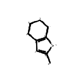 Cc1cc2c(s1)CCCC2